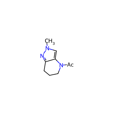 CC(=O)N1CCCc2nn(C)cc21